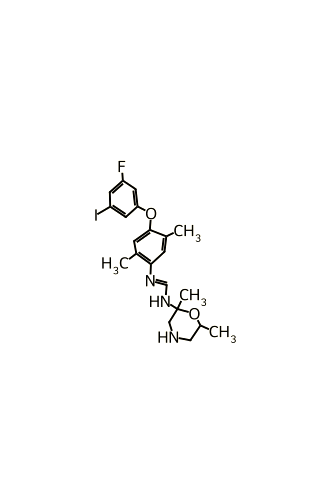 Cc1cc(Oc2cc(F)cc(I)c2)c(C)cc1/N=C/NC1(C)CNCC(C)O1